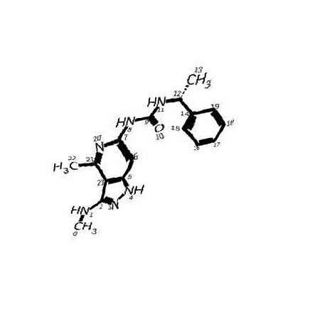 CNc1n[nH]c2cc(NC(=O)N[C@H](C)c3ccccc3)nc(C)c12